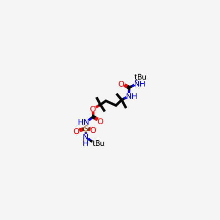 CC(C)(C)NC(=O)NC(C)(C)CCC(C)(C)OC(=O)NS(=O)(=O)NC(C)(C)C